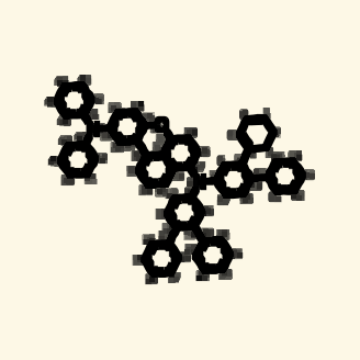 C1=CCCC(c2cc(N(c3ccc(-c4ccccc4)c(-c4ccccc4)c3)c3ccc4c5c(cccc35)-c3cc(N(c5ccccc5)c5ccccc5)ccc3O4)ccc2-c2ccccc2)=C1